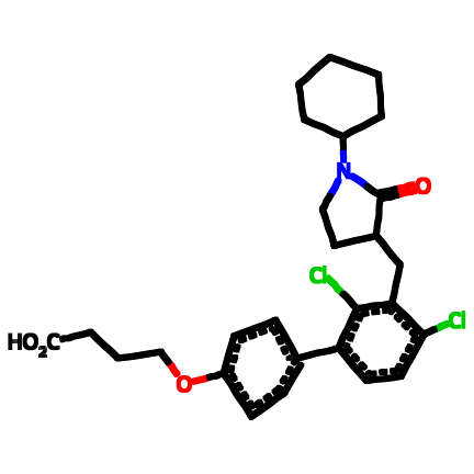 O=C(O)CCCOc1ccc(-c2ccc(Cl)c(CC3CCN(C4CCCCC4)C3=O)c2Cl)cc1